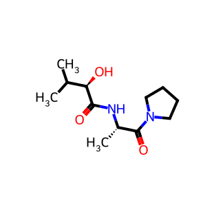 CC(C)[C@@H](O)C(=O)N[C@@H](C)C(=O)N1CCCC1